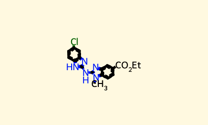 CCOC(=O)c1ccc2c(c1)nc(Nc1nc3cc(Cl)ccc3[nH]1)n2C